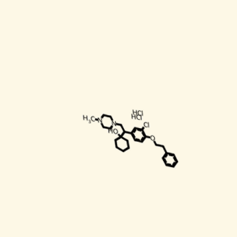 CN1CCN(CC(c2ccc(OCCc3ccccc3)c(Cl)c2)C2(O)CCCCC2)CC1.Cl.Cl